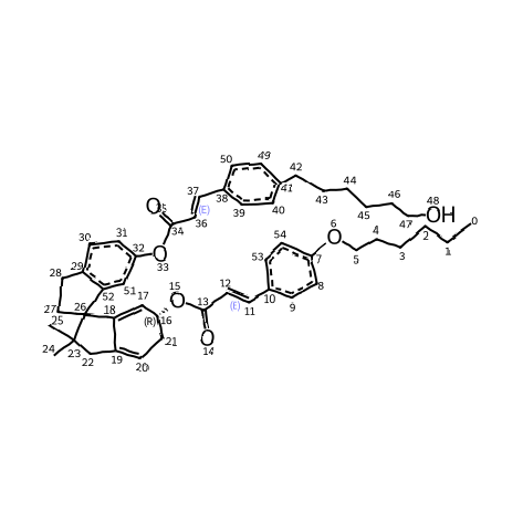 CCCCCCOc1ccc(/C=C/C(=O)O[C@H]2C=C3C(=CC2)CC(C)(C)C32CCc3ccc(OC(=O)/C=C/c4ccc(CCCCCCO)cc4)cc32)cc1